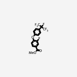 COC(=O)c1ccc(Oc2ccc(C(F)(C(F)(F)F)C(F)(F)F)cc2)c(F)c1